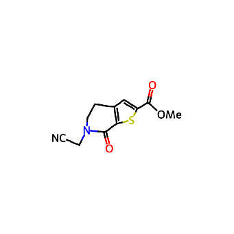 COC(=O)c1cc2c(s1)C(=O)N(CC#N)CC2